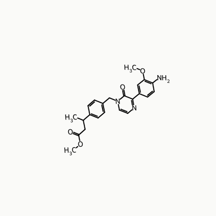 COC(=O)CC(C)c1ccc(Cn2ccnc(-c3ccc(N)c(OC)c3)c2=O)cc1